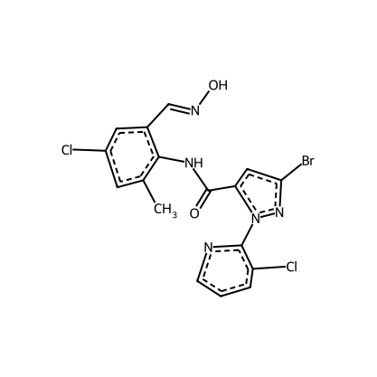 Cc1cc(Cl)cc(C=NO)c1NC(=O)c1cc(Br)nn1-c1ncccc1Cl